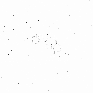 O=C(ON1C(=O)CCC1=O)c1ccc[nH]1